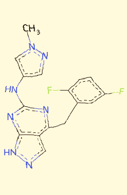 Cn1cc(Nc2nc(Cc3cc(F)ccc3F)c3cn[nH]c3n2)cn1